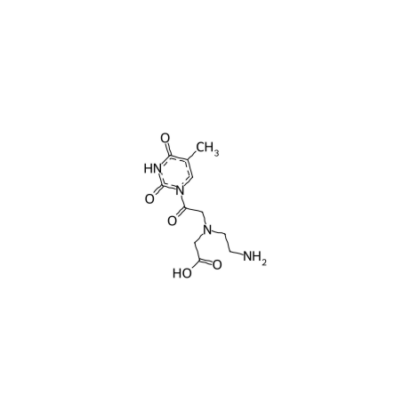 Cc1cn(C(=O)CN(CCN)CC(=O)O)c(=O)[nH]c1=O